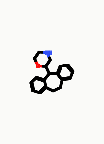 c1ccc2c(c1)CCc1ccccc1C2C1CNCCO1